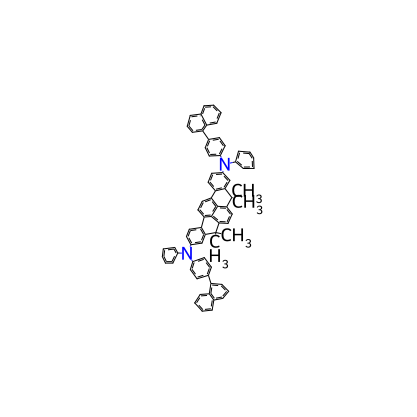 CC1(C)c2cc(N(c3ccccc3)c3ccc(-c4cccc5ccccc45)cc3)ccc2-c2ccc3c4c(ccc1c24)C(C)(C)c1cc(N(c2ccccc2)c2ccc(-c4cccc5ccccc45)cc2)ccc1-3